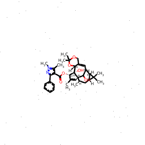 CC1=C[C@]23C(O)[C@@H](C=C4COC(C)(C)O[C@H]4[C@]2(O)[C@H]1OC(=O)c1c(-c2ccccc2)nn(C)c1C)[C@H]1[C@@H](C[C@H]3C)C1(C)C